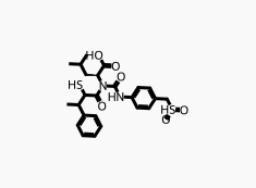 CC(C)C[C@@H](C(=O)O)N(C(=O)Nc1ccc(C[SH](=O)=O)cc1)C(=O)C(S)C(C)c1ccccc1